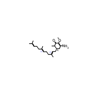 COC1=C(N)C[C@@H](C/C=C(\C)CC/C=C(\C)CCC=C(C)C)C(C)C1=O